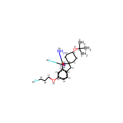 BC(B)(B)OC1CCC2(CC1)Cc1ccc(OCCCF)cc1C21C=C(F)C(N)=N1